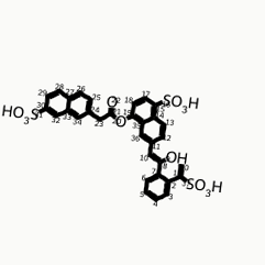 C=C(c1ccccc1/C(O)=C/c1ccc2c(S(=O)(=O)O)ccc(OC(=O)Cc3ccc4ccc(S(=O)(=O)O)cc4c3)c2c1)S(=O)(=O)O